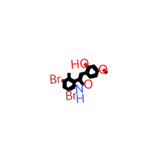 COc1ccc(C=C2C(=O)Nc3c(Br)cc(Br)c(C)c32)c(O)c1